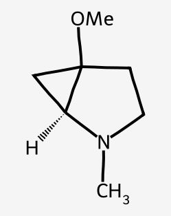 COC12CCN(C)[C@H]1C2